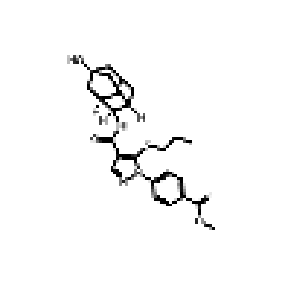 CCCSc1c(C(=O)N[C@H]2[C@@H]3CC4C[C@H]2C[C@@](O)(C4)C3)cnn1-c1ccc(C(=O)OC)cc1